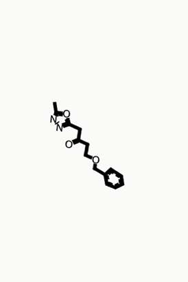 Cc1nnc(CC(=O)CCOCc2ccccc2)o1